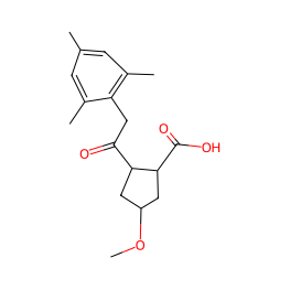 COC1CC(C(=O)O)C(C(=O)Cc2c(C)cc(C)cc2C)C1